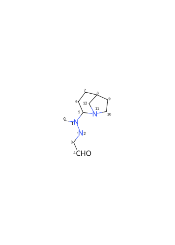 CN([N]CC=O)C1CCC2CCN1C2